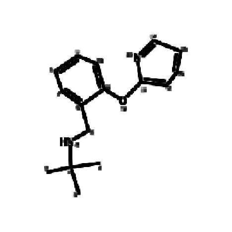 CC(C)(C)NCc1ccccc1Oc1ccccn1